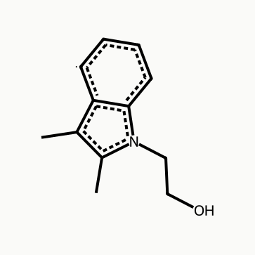 Cc1c(C)n(CCO)c2ccc[c]c12